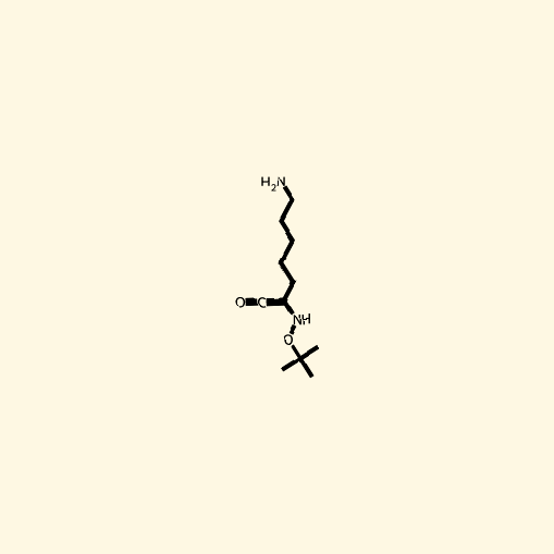 CC(C)(C)ONC(=C=O)CCCCCN